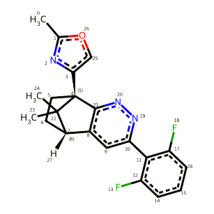 Cc1nc([C@@]23CC[C@@H](c4cc(-c5c(F)cccc5F)nnc42)C3(C)C)co1